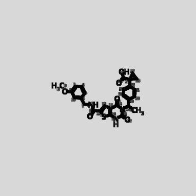 COc1cccc(CNC(=O)c2cc3c(=O)n(C(C)c4ccc(C5(C(=O)O)CC5)cc4)c(=O)[nH]c3s2)c1